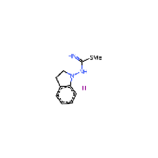 CSC(=N)NN1CCc2ccccc21.I